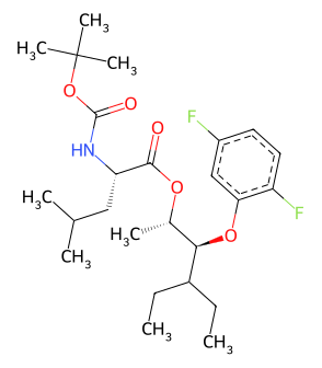 CCC(CC)[C@H](Oc1cc(F)ccc1F)[C@H](C)OC(=O)[C@H](CC(C)C)NC(=O)OC(C)(C)C